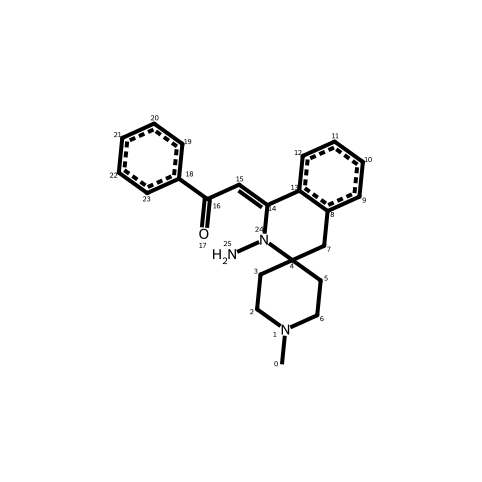 CN1CCC2(CC1)Cc1ccccc1/C(=C/C(=O)c1ccccc1)N2N